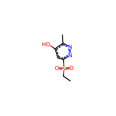 CCS(=O)(=O)c1cc(O)c(C)nn1